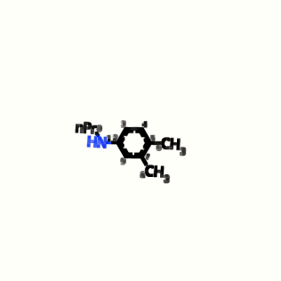 [CH2]CCNc1ccc(C)c(C)c1